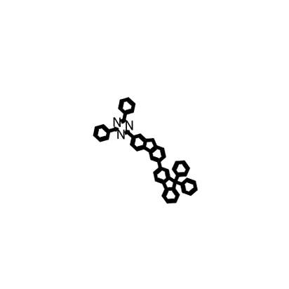 c1ccc(-c2nc(-c3ccccc3)nc(-c3ccc4c(c3)Cc3ccc(-c5ccc6c(c5)C(c5ccccc5)(c5ccccc5)c5ccccc5-6)cc3-4)n2)cc1